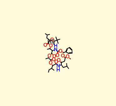 CCC(C)C(OC(=O)C(C)OC(=O)C(NC(=O)OCc1ccccc1)C(C)OC(=O)C(CC(C)C)O[SiH](C)C(C)(C)C)C(=O)NC(CC(C)C)C(=O)CC(=O)OC